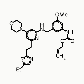 C=CCOC(=O)Nc1cc(CNc2cc(N3CCOCC3)cc(CCc3ncc(CC)s3)n2)cc(OC)c1